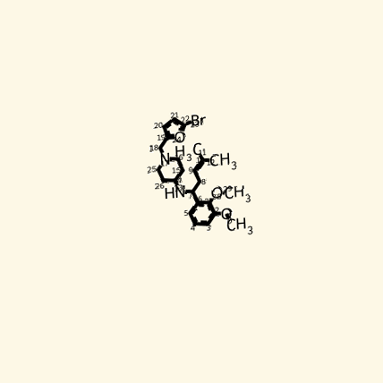 COc1cccc(C(CC=C(C)C)NC2CCN(Cc3ccc(Br)o3)CC2)c1OC